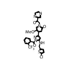 COc1cn(CC(=O)c2cnccn2)c(=O)cc1-c1cc(NCc2ccc(Cl)s2)n(C(=O)c2ccccc2C(F)(F)F)n1